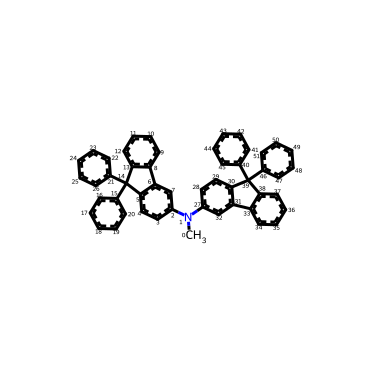 CN(c1ccc2c(c1)-c1ccccc1C2(c1ccccc1)c1ccccc1)c1ccc2c(c1)-c1ccccc1C2(c1ccccc1)c1ccccc1